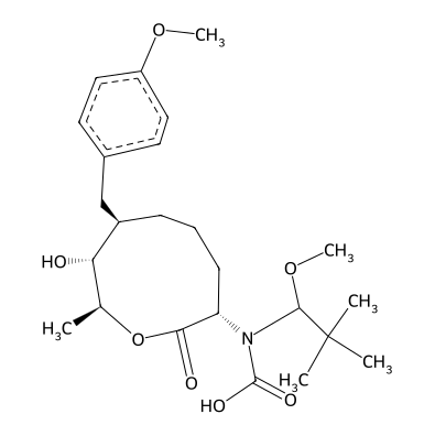 COc1ccc(C[C@H]2CCC[C@H](N(C(=O)O)C(OC)C(C)(C)C)C(=O)O[C@@H](C)[C@@H]2O)cc1